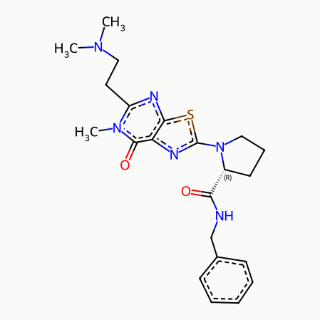 CN(C)CCc1nc2sc(N3CCC[C@@H]3C(=O)NCc3ccccc3)nc2c(=O)n1C